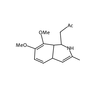 COC1=C(OC)C2C(C=C1)C=C(C)NC2CC(C)=O